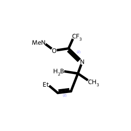 BC(C)(/C=C\CC)/N=C(\ONC)C(F)(F)F